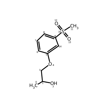 CC(O)COc1cccc(S(C)(=O)=O)c1